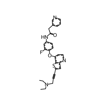 CCN(CC)CC#Cc1cc2nccc(Oc3ccc(NC(=O)Cc4cccnc4)cc3F)c2s1